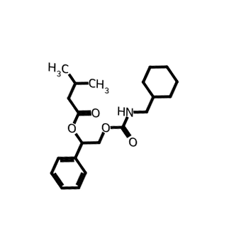 CC(C)CC(=O)OC(COC(=O)NCC1CCCCC1)c1ccccc1